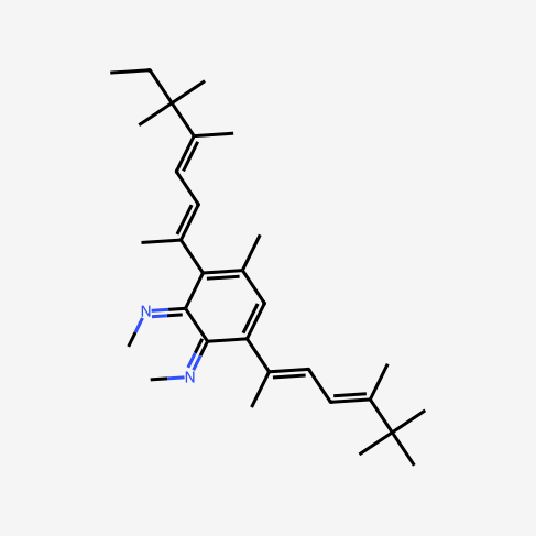 CCC(C)(C)/C(C)=C/C=C(\C)C1=C(C)C=C(/C(C)=C/C=C(\C)C(C)(C)C)C(=N/C)/C1=N\C